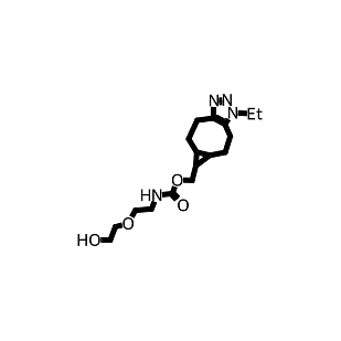 CCn1nnc2c1CCC1C(CC2)C1COC(=O)NCCOCCO